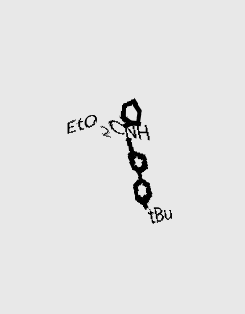 CCOC(=O)C1(NCc2ccc(-c3ccc(C(C)(C)C)cc3)cc2)CCCCC1